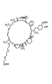 COCCOCCOCCOC1C[C@@H]2CC[C@@H](C)[C@@](O)(O2)C(=O)C(=O)N2CCCC[C@H]2C(=O)O[C@H]([C@H](C)C[C@@H]2CC[C@@H](O)[C@H](OC)C2)CC(=O)[C@H](C)/C=C(\C)[C@@H](O)[C@@H](OC)C(=O)[C@H](C)C[C@H](C)/C=C/C=C/C=C/1C